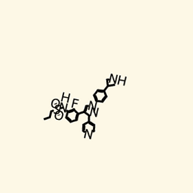 CCCS(=O)(=O)Nc1cccc(-c2cn(-c3ccc(C4CNC4)cc3)nc2-c2ccncc2)c1F